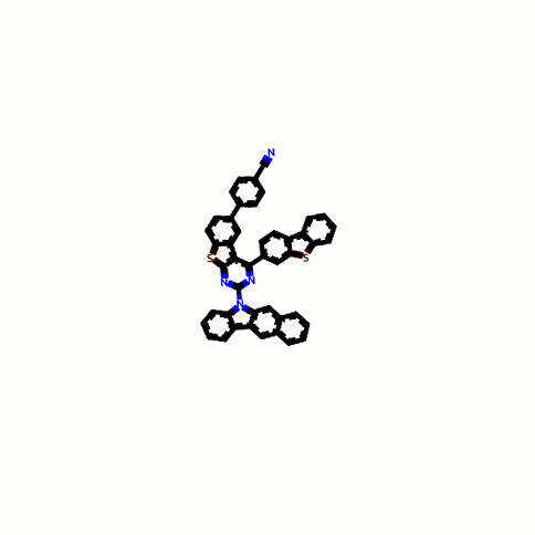 N#Cc1ccc(-c2ccc3sc4nc(-n5c6ccccc6c6cc7ccccc7cc65)nc(-c5ccc6c(c5)sc5ccccc56)c4c3c2)cc1